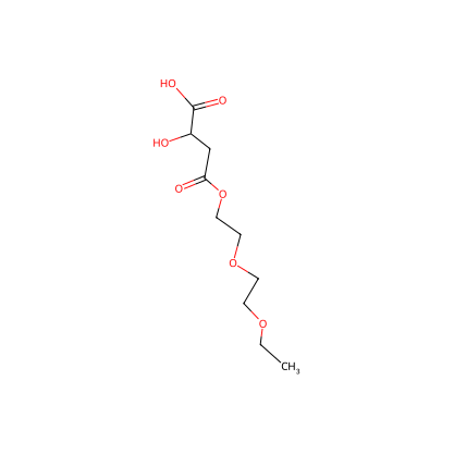 CCOCCOCCOC(=O)CC(O)C(=O)O